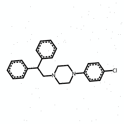 Clc1ccc(N2CCN(CC(c3ccccc3)c3ccccc3)CC2)cc1